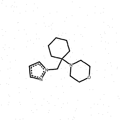 c1cnn(CC2(N3CCOCC3)CCCCC2)c1